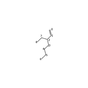 C=CC([CH]CCC)CC